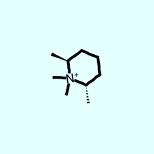 C[C@H]1CCC[C@H](C)[N+]1(C)C